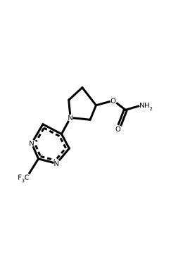 NC(=O)OC1CCN(c2cnc(C(F)(F)F)nc2)C1